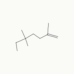 C=C(C)CCC(C)(C)CC